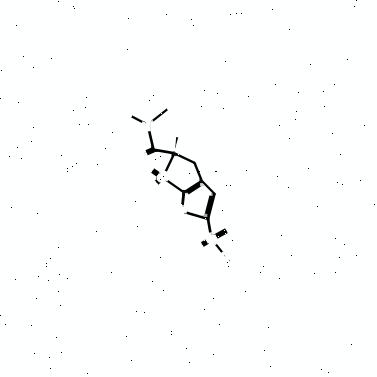 CN(C)C(=O)[C@]1(C)Cc2cc(S(N)(=O)=O)sc2S1(=O)=O